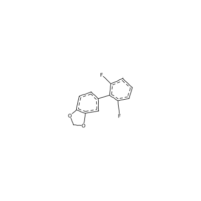 Fc1[c]ccc(F)c1-c1ccc2c(c1)OCO2